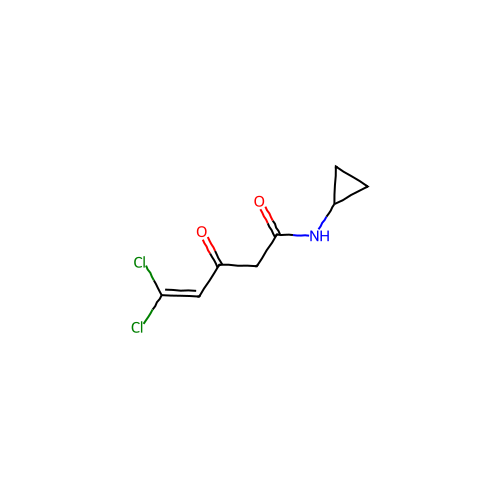 O=C(C=C(Cl)Cl)CC(=O)NC1CC1